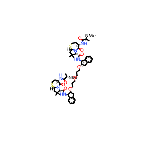 CN[C@@H](C)C(=O)N[C@H]1CCS[C@H]2CC(C)(C)[C@@H](C(=O)N[C@H]3c4ccccc4C[C@H]3OCCCOCCCO[C@@H]3Cc4ccccc4[C@@H]3NC(=O)[C@H]3N4C(=O)[C@@H](NC(=O)[C@H](C)NC)CCS[C@H]4CC3(C)C)N2C1=O